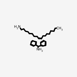 CCCCCCCC/C=C\CCCCCCCCN.NC(c1ccccc1)c1ccccc1